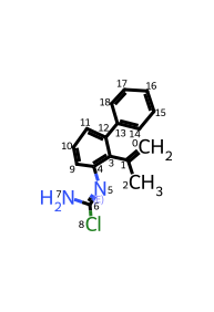 C=C(C)c1c(/N=C(\N)Cl)cccc1-c1ccccc1